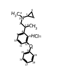 CC(CN(C)C1CC1)c1cccc(Oc2ccccc2)c1.Cl